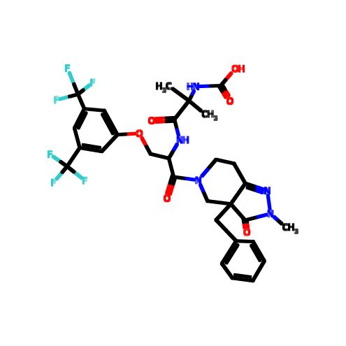 CN1N=C2CCN(C(=O)C(COc3cc(C(F)(F)F)cc(C(F)(F)F)c3)NC(=O)C(C)(C)NC(=O)O)CC2(Cc2ccccc2)C1=O